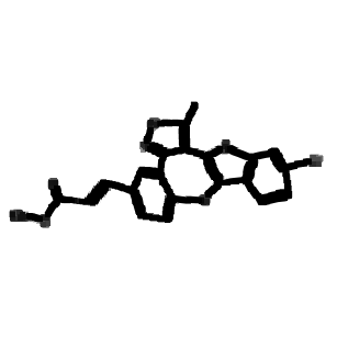 CCc1ccc2c(Oc3ccc(/C=C/C(=O)OC(C)(C)C)cc3)c(-c3c(C)noc3C)sc2c1